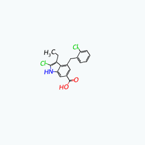 CCc1c(Cl)[nH]c2cc(C(=O)O)cc(Cc3ccccc3Cl)c12